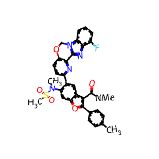 CNC(=O)c1c(-c2ccc(C)cc2)oc2cc(N(C)S(C)(=O)=O)c(-c3ccc4c(n3)-c3nc5c(F)cccc5n3CO4)cc12